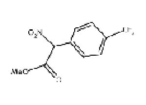 COC(=O)C(c1ccc(C(F)(F)F)cc1)[N+](=O)[O-]